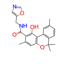 Cc1ccc2c(c1)-c1c(cc(C)c(C(=O)NCc3cnco3)c1O)OC2(C)C